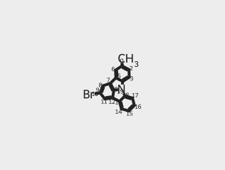 Cc1ccc2c(c1)c1cc(Br)cc3c4ccccc4n2c31